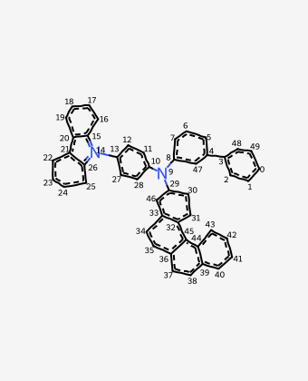 c1ccc(-c2cccc(N(c3ccc(-n4c5ccccc5c5ccccc54)cc3)c3ccc4c(ccc5ccc6ccccc6c54)c3)c2)cc1